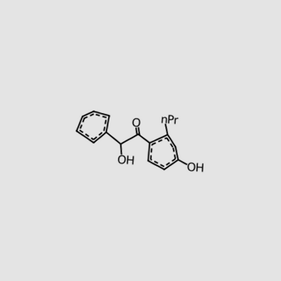 CCCc1cc(O)ccc1C(=O)C(O)c1ccccc1